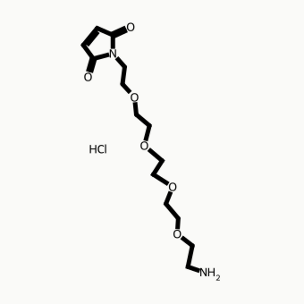 Cl.NCCOCCOCCOCCOCCN1C(=O)C=CC1=O